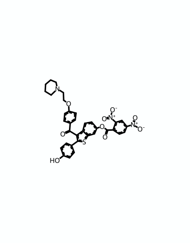 O=C(Oc1ccc2c(C(=O)c3ccc(OCCN4CCCCC4)cc3)c(-c3ccc(O)cc3)sc2c1)c1ccc([N+](=O)[O-])cc1[N+](=O)[O-]